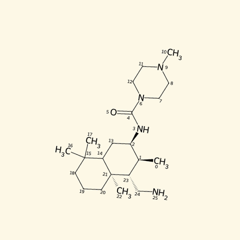 C[C@@H]1[C@H](NC(=O)N2CCN(C)CC2)CC2C(C)(C)CCC[C@]2(C)[C@H]1CN